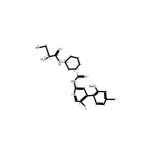 COc1cc(F)ccc1-c1cc(NC(=O)[C@H]2CCC[C@@H](NC(=O)[C@@H](N)CC(C)C)C2)ncc1F